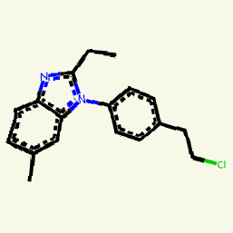 CCc1nc2ccc(C)cc2n1-c1ccc(CCCl)cc1